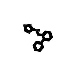 c1ccc(-c2ccccc2CNc2nc[nH]n2)cc1